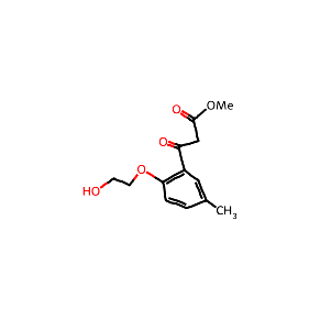 COC(=O)CC(=O)c1cc(C)ccc1OCCO